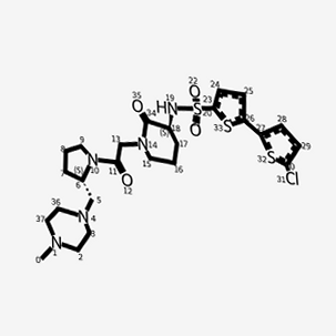 CN1CCN(C[C@@H]2CCCN2C(=O)CN2CCC[C@H](NS(=O)(=O)c3ccc(-c4ccc(Cl)s4)s3)C2=O)CC1